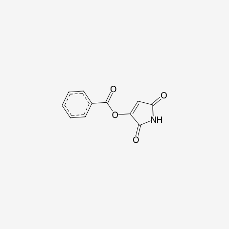 O=C1C=C(OC(=O)c2ccccc2)C(=O)N1